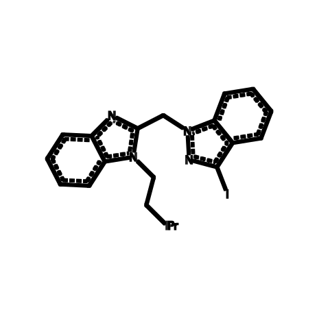 CC(C)CCn1c(Cn2nc(I)c3ccccc32)nc2ccccc21